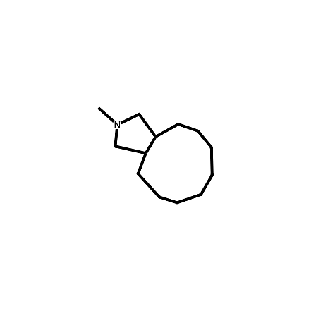 CN1CC2CCCCCCCCC2C1